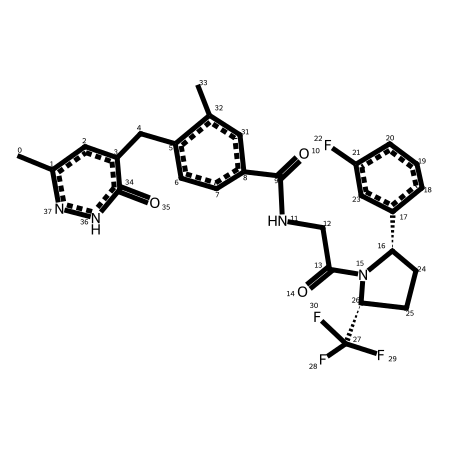 Cc1cc(Cc2ccc(C(=O)NCC(=O)N3[C@H](c4cccc(F)c4)CC[C@@H]3C(F)(F)F)cc2C)c(=O)[nH]n1